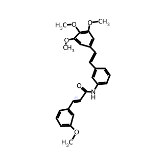 COc1cccc(/C=C/C(=O)Nc2cccc(C=Cc3cc(OC)c(OC)c(OC)c3)c2)c1